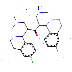 CN(C)CC(C(=O)C(CN(C)C)C1NCCc2cc(Br)ccc21)C1NCCc2cc(Br)ccc21